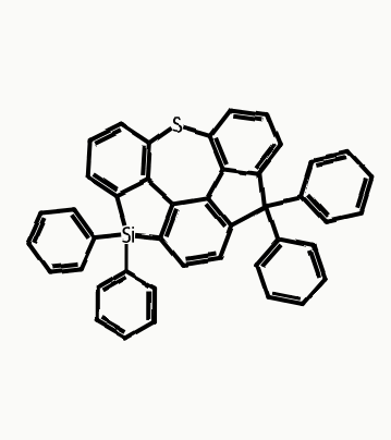 c1ccc(C2(c3ccccc3)c3cccc4c3-c3c2ccc2c3-c3c(cccc3[Si]2(c2ccccc2)c2ccccc2)S4)cc1